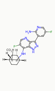 Nc1ncc(F)cc1-c1n[nH]c2c(N[C@H]3[C@H]4CC[C@H](CC4)[C@@H]3C(=O)O)c(F)cnc12